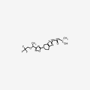 CC(OCC(F)(F)F)c1noc(N2CCc3nc(NC(=O)N[C@H](C)CO)sc3C2)n1